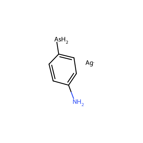 Nc1ccc([AsH2])cc1.[Ag]